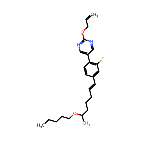 C=CCOc1ncc(-c2ccc(/C=C/CCCC(C)OCCCCC)cc2F)cn1